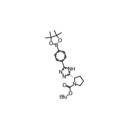 CC(C)(C)OC(=O)N1CCC[C@H]1c1nnc(-c2ccc(B3OC(C)(C)C(C)(C)O3)cc2)[nH]1